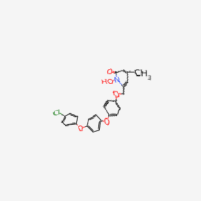 Cc1cc(COc2ccc(Oc3ccc(Oc4ccc(Cl)cc4)cc3)cc2)n(O)c(=O)c1